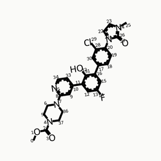 COC(=O)N1CCN(c2cc(-c3cc(F)cc(-c4ccc(-n5ccn(C)c5=O)c(Cl)c4)c3O)ccn2)CC1